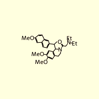 CCN(CC)CC(=O)N1CCc2cc(OC)c(OC)cc2C1C(C)c1ccc2cc(OC)ccc2c1